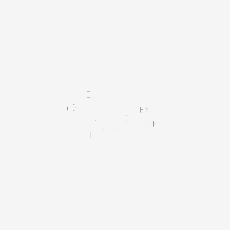 CCCCC(CC)COc1ccc(C=O)c(OCC(CC)CCCC)c1